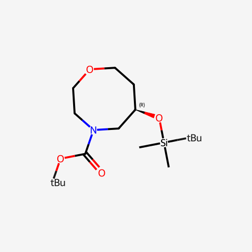 CC(C)(C)OC(=O)N1CCOCC[C@@H](O[Si](C)(C)C(C)(C)C)C1